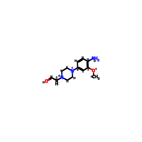 COc1cc(N2CCN(BC=O)CC2)ccc1N